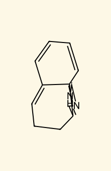 [C]1=NC=C2CCC=C3C=CC=CC32N1